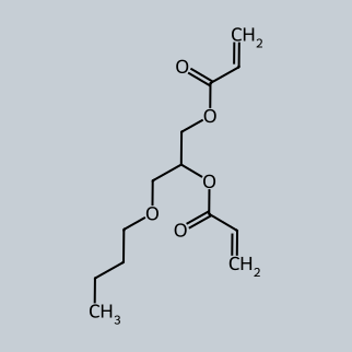 C=CC(=O)OCC(COCCCC)OC(=O)C=C